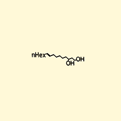 CCCCCCC=CCCCCCC(O)CCO